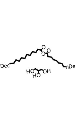 CCCCCCCCCCCCCCCCCCCCCC(=O)OC(=O)CCCCCCCCCCCCCCCCC.OCC(O)CO